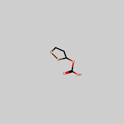 O=C(O)OC1CCSS1